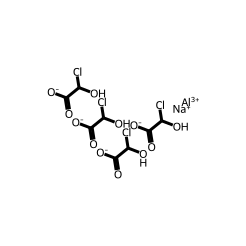 O=C([O-])C(O)Cl.O=C([O-])C(O)Cl.O=C([O-])C(O)Cl.O=C([O-])C(O)Cl.[Al+3].[Na+]